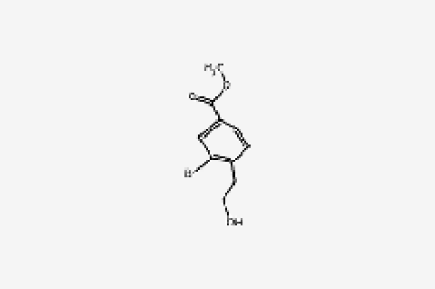 COC(=O)c1ccc(CCO)c(Br)c1